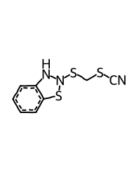 N#CSCSN1Nc2ccccc2S1